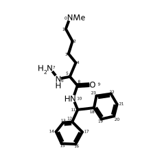 CNCCCCC(NN)C(=O)NC(c1ccccc1)c1ccccc1